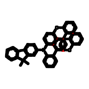 CC1(C)c2ccccc2-c2ccc(N(c3ccc4c(c3)C3(c5ccccc5Oc5ccccc53)c3ccccc3O4)c3ccccc3-c3ccccc3)cc21